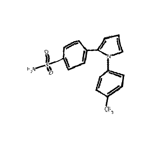 NS(=O)(=O)c1ccc(-c2cccn2-c2ccc(C(F)(F)F)cc2)cc1